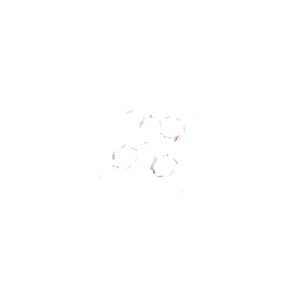 CC1=C(C)C(C)C([Si](c2ccc([Si](C)(C)C)c(C)c2[Si](C)(C)C)(c2ccc([Si](C)(C)C)c(C)c2[Si](C)(C)C)c2ccc([Si](C)(C)C)c(C)c2[Si](C)(C)C)=C1C